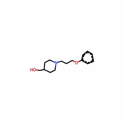 OCC1CCN(CCCOc2ccccc2)CC1